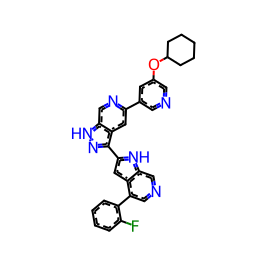 Fc1ccccc1-c1cncc2[nH]c(-c3n[nH]c4cnc(-c5cncc(OC6CCCCC6)c5)cc34)cc12